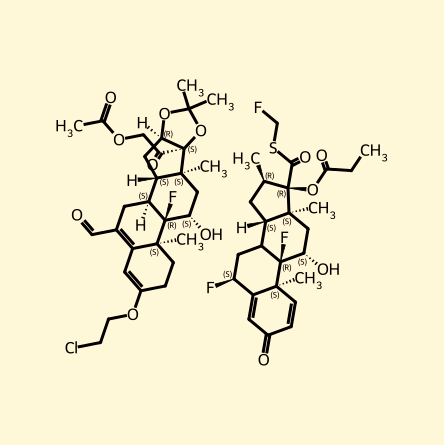 CC(=O)OCC(=O)[C@@]12OC(C)(C)O[C@@H]1C[C@H]1[C@@H]3CC(C=O)=C4C=C(OCCCl)CC[C@]4(C)[C@@]3(F)[C@@H](O)C[C@@]12C.CCC(=O)O[C@]1(C(=O)SCF)[C@H](C)C[C@H]2C3C[C@H](F)C4=CC(=O)C=C[C@]4(C)[C@@]3(F)[C@@H](O)C[C@@]21C